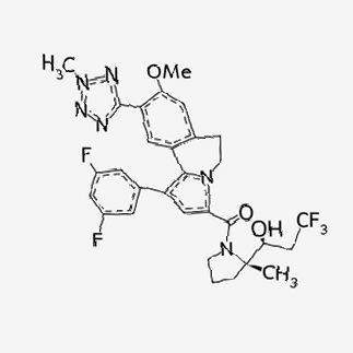 COc1cc2c(cc1-c1nnn(C)n1)-c1c(-c3cc(F)cc(F)c3)cc(C(=O)N3CCC[C@@]3(C)[C@@H](O)CC(F)(F)F)n1CC2